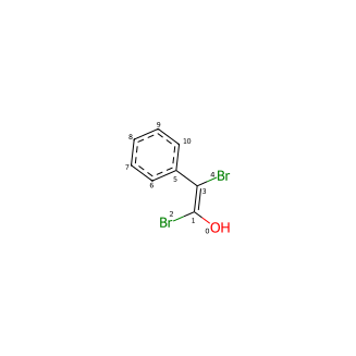 OC(Br)=C(Br)c1ccccc1